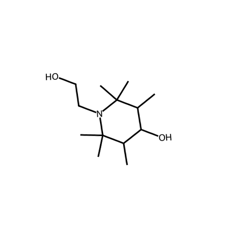 CC1C(O)C(C)C(C)(C)N(CCO)C1(C)C